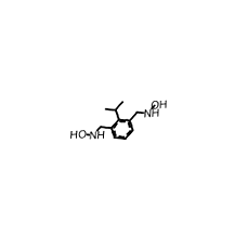 CC(C)c1c(CNO)cccc1CNO